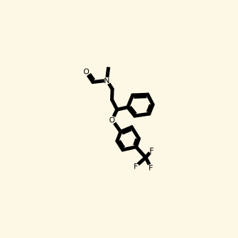 CN(C=O)CCC(Oc1ccc(C(F)(F)F)cc1)c1ccccc1